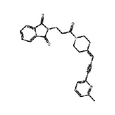 Cc1cccc(C#CC=C2CCN(C(=O)CCN3C(=O)c4ccccc4C3=O)CC2)n1